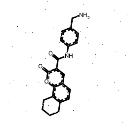 NCc1ccc(NC(=O)c2cc3ccc4c(c3oc2=O)CCCC4)cc1